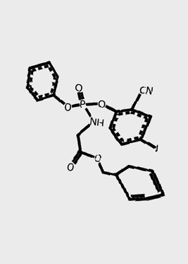 N#Cc1cc(I)ccc1OP(=O)(NCC(=O)OCC1C=CC=CC1)Oc1ccccc1